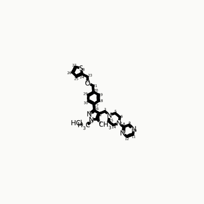 Cc1c(CN2CCN(c3cnccn3)CC2)c(-c2ccc(COCc3cccs3)cc2)nn1C.Cl